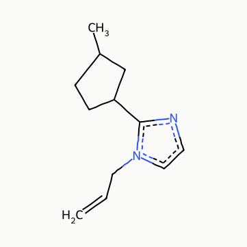 C=CCn1ccnc1C1CCC(C)C1